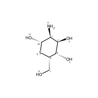 N[C@H]1[C@@H](O)[C@H](O)[C@H](CO)S[C@@H]1O